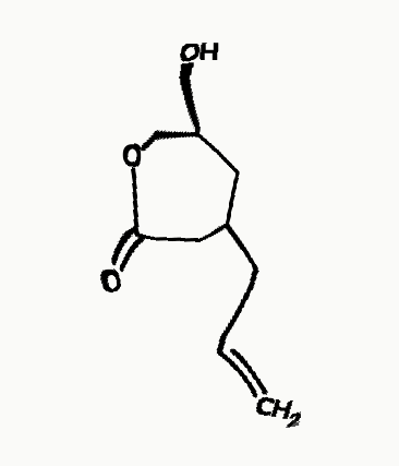 C=CCC1C[C@H](O)OC1=O